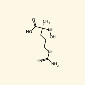 C[C@@](CCCNC(=N)N)(NO)C(=O)O